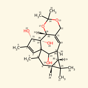 CC1=CC23C(C)C[C@@H]4[C@H]([C@H](C=C5COC(C)(C)O[C@H]5[C@]2(O)[C@H]1O)C3O)C4(C)C